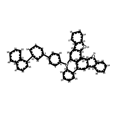 c1cc(-c2ccc(N(c3ccc4oc5ccccc5c4c3)c3ccccc3-c3ccc4oc5ccccc5c4c3)cc2)cc(-c2cccc3ccccc23)c1